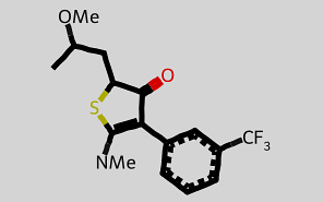 CNC1=C(c2cccc(C(F)(F)F)c2)C(=O)C(CC(C)OC)S1